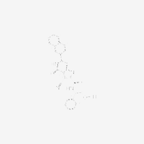 COCC(NC(=O)c1nn2cc(-c3ccc4ccccc4c3)[nH]c(=O)c2c1C#N)c1ccccc1